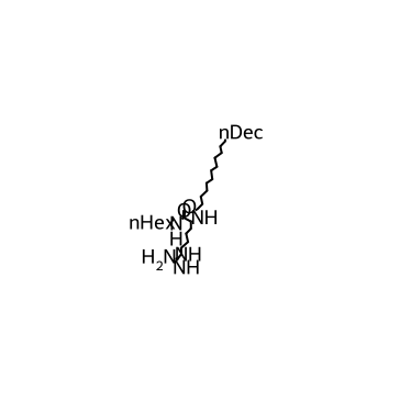 CCCCCCCCCCCCCCCCCCCCCC(=O)NC(CCCCNC(=N)N)C(=O)NCCCCCC